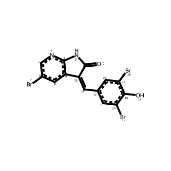 O=C1Nc2ncc(Br)cc2C1=Cc1cc(Br)c(O)c(Br)c1